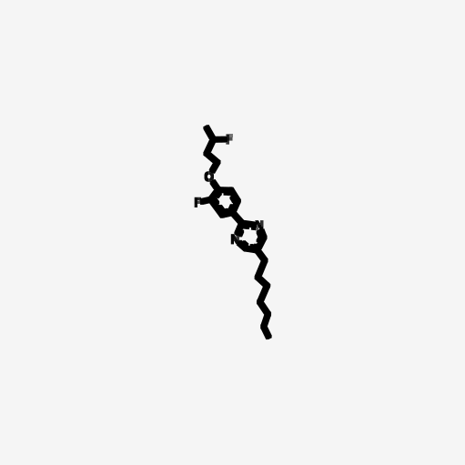 CCCCCCCc1cnc(-c2ccc(OCCC(C)F)c(F)c2)nc1